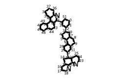 c1cc(-c2ccc3c(ccc4cc(-c5cc6cccnc6c6ncccc56)ccc43)c2)cc(-c2nc3ccccc3c3c2ccc2ccccc23)c1